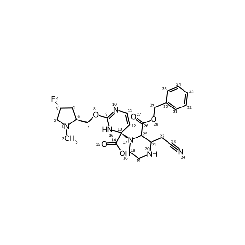 CN1C[C@H](F)C[C@H]1COC1=NC=C[C@@](C(=O)O)(N2CCNC(CC#N)C2C(=O)OCc2ccccc2)N1